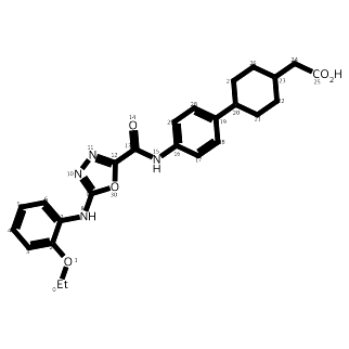 CCOc1ccccc1Nc1nnc(C(=O)Nc2ccc(C3CCC(CC(=O)O)CC3)cc2)o1